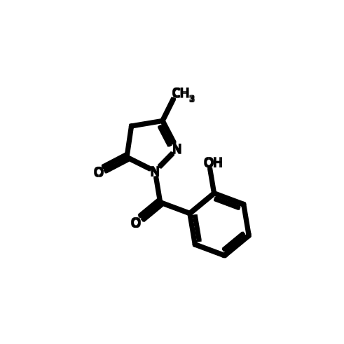 CC1=NN(C(=O)c2ccccc2O)C(=O)C1